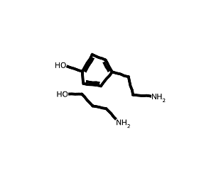 NCCCO.NCCc1ccc(O)cc1